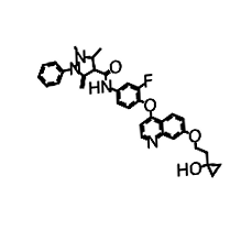 C=C1C(C(=O)Nc2ccc(Oc3ccnc4cc(OCCC5(O)CC5)ccc34)c(F)c2)C(C)N(C)N1c1ccccc1